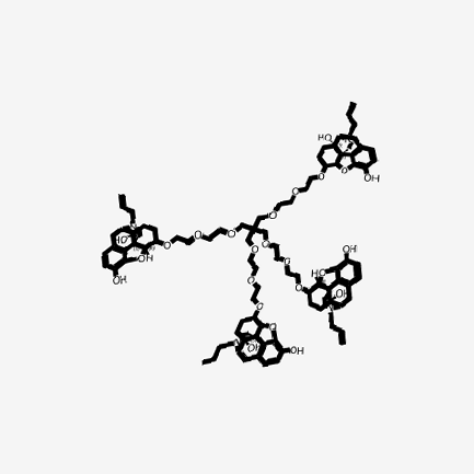 C=CCN1CC[C@]23c4c5ccc(O)c4OC2C(OCCOCCOCC(COCCOCCOC2CC[C@@]4(O)C6Cc7ccc(O)c8c7[C@@]4(CCN6CCC)C2O8)(COCCOCCOC2CC[C@@]4(O)C6Cc7ccc(O)c8c7[C@@]4(CCN6CC=C)[C@H]2O8)COCCOCCOC2CC[C@@]4(O)C6Cc7ccc(O)c8c7[C@@]4(CCN6CC=C)[C@H]2O8)CC[C@@]3(O)C1C5